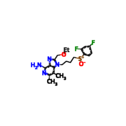 CCOCc1nc2c(N)nc(C)c(C)c2n1CCCC[S+]([O-])c1ccc(F)cc1F